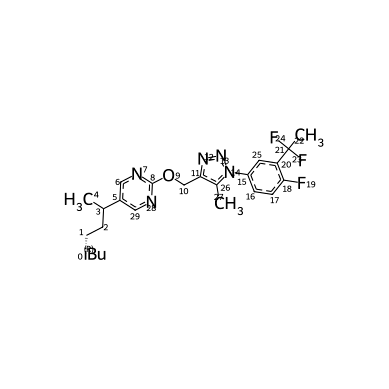 CC[C@@H](C)CCC(C)c1cnc(OCc2nnn(-c3ccc(F)c(C(C)(F)F)c3)c2C)nc1